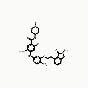 CCN1CCC(NC(=O)c2cc(OC)c(Nc3ncc(C(F)(F)F)c(OCCc4cccc5c4C(=O)N(C)C5)n3)cc2F)CC1